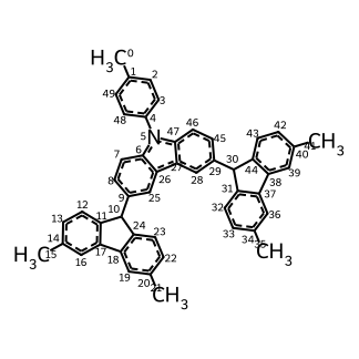 Cc1ccc(-n2c3ccc(C4c5ccc(C)cc5-c5cc(C)ccc54)cc3c3cc(C4c5ccc(C)cc5-c5cc(C)ccc54)ccc32)cc1